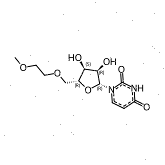 COCCOC[C@H]1O[C@@H](n2ccc(=O)[nH]c2=O)[C@H](O)[C@@H]1O